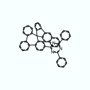 c1ccc(-c2nc(-c3ccccc3)nc(-c3ccc4c(c3)C3(c5ccccc5-c5ccccc5-4)c4ccccc4-c4cc5ccccc5cc43)n2)cc1